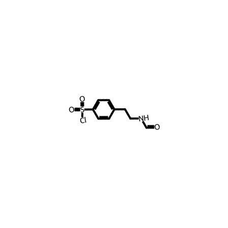 O=CNCCc1ccc(S(=O)(=O)Cl)cc1